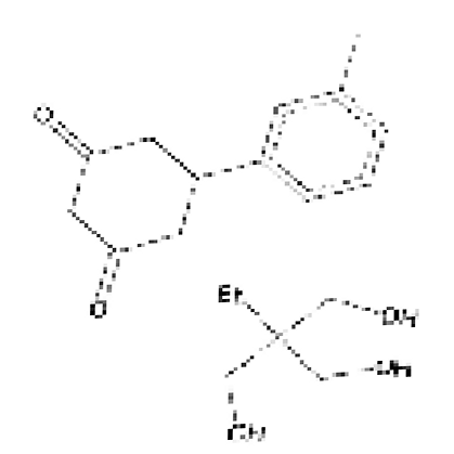 CCC(CO)(CO)CO.Cc1cccc(C2CC(=O)CC(=O)C2)c1